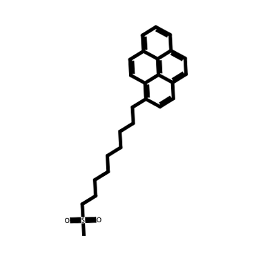 CS(=O)(=O)CCCCCCCCCc1ccc2ccc3cccc4ccc1c2c34